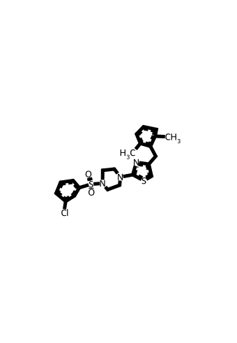 Cc1cccc(C)c1Cc1csc(N2CCN(S(=O)(=O)c3cccc(Cl)c3)CC2)n1